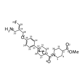 COC(=O)C1CCN(C(=O)C23CCC(c4ccc(OCC(=CF)CN)cc4)(CC2)CC3)CC1